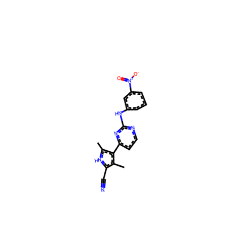 Cc1[nH]c(C#N)c(C)c1-c1ccnc(Nc2cccc([N+](=O)[O-])c2)n1